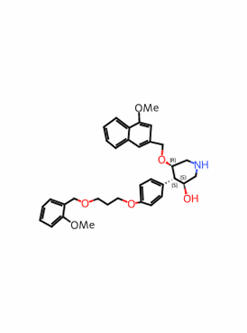 COc1ccccc1COCCCOc1ccc([C@H]2[C@H](O)CNC[C@@H]2OCc2cc(OC)c3ccccc3c2)cc1